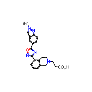 CC(C)n1cc2cc(-c3nc(-c4cccc5c4CCN(CCC(=O)O)C5)no3)ccc2n1